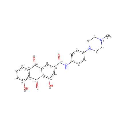 CN1CCN(c2ccc(NC(=O)c3cc(O)c4c(c3)C(=O)c3cccc(O)c3C4=O)cc2)CC1